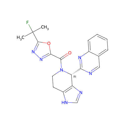 CC(C)(F)c1nnc(C(=O)N2CCc3[nH]cnc3[C@H]2c2ncc3ccccc3n2)o1